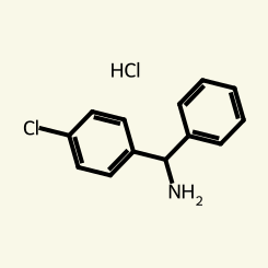 Cl.NC(c1ccccc1)c1ccc(Cl)cc1